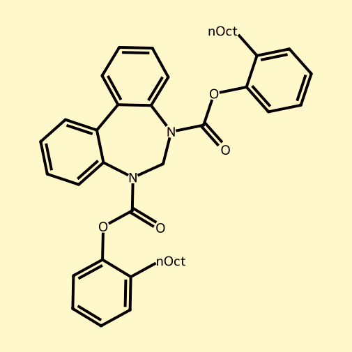 CCCCCCCCc1ccccc1OC(=O)N1CN(C(=O)Oc2ccccc2CCCCCCCC)c2ccccc2-c2ccccc21